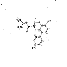 NC(N)=NC(=O)N1CCc2c(F)ccc(-c3ncc(Cl)cc3F)c2C1